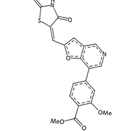 COC(=O)c1ccc(-c2cncc3cc(C=C4SC(=O)NC4=O)oc23)cc1OC